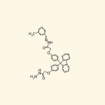 Cc1cccc(C=NNC(=O)COc2ccc(C3(c4ccc(OCC(=O)NN)cc4)c4ccccc4-c4ccccc43)cc2)c1